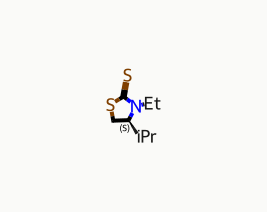 CCN1C(=S)SC[C@@H]1C(C)C